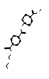 C=C(OCOCOC)c1ccc(C(=O)Oc2ccc(C(=O)NC(C)C)cc2)cc1